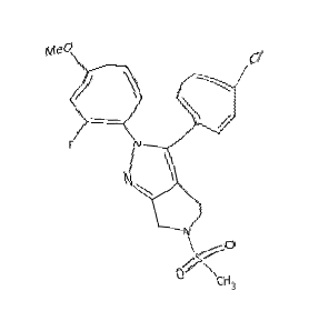 COc1ccc(-n2nc3c(c2-c2ccc(Cl)cc2)CN(S(C)(=O)=O)C3)c(F)c1